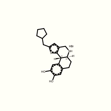 Br.Oc1cc2c(cc1O)[C@@H]1c3sc(CC4CCCC4)cc3CN[C@H]1CC2